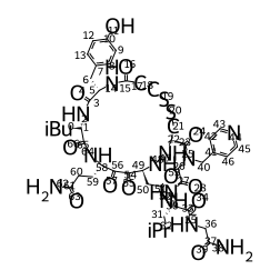 CC[C@H](C)[C@@H]1NC(=O)[C@H](Cc2ccc(O)cc2)NC(=O)CCSSC[C@@H](C(=O)N(CC(=O)N[C@@H](CC(C)C)C(=O)NCC(N)=O)Cc2ccncc2)NN[C@@H](CC(N)=O)C(=O)C(=O)[C@H](CCC(N)=O)NC1=O